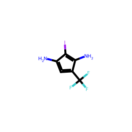 NC1=C=C(C(F)(F)F)C(N)=C1I